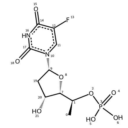 C[C@H](OP(=O)(O)O)[C@H]1O[C@@H](n2cc(F)c(=O)[nH]c2=O)C[C@H]1O